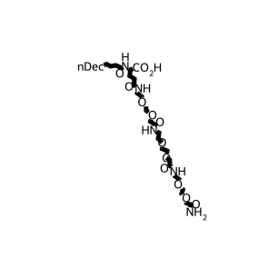 CCCCCCCCCCCCCC(=O)NC(CCC(=O)NCCOCCOCC(=O)NCCOCCOCC(=O)NCCOCCOCC(N)=O)C(=O)O